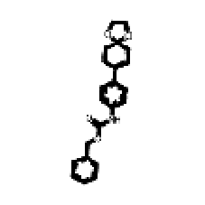 O=C(Nc1ccc(C2=CCC3(CC2)OCCO3)cc1)OCc1ccccc1